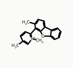 Cc1ccc(-c2c(C)ccc3c2oc2ccccc23)[n+](C)c1